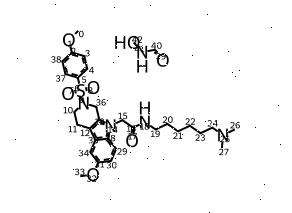 COc1ccc(S(=O)(=O)N2CCc3c(n(CC(=O)NCCCCCCN(C)C)c4ccc(OC)cc34)C2)cc1.O=CNO